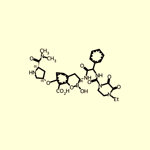 CCN1CCN(C(=O)NC(C(=O)N[C@H]2Cc3ccc(O[C@@H]4CN[C@H](C(=O)N(C)C)C4)c(C(=O)O)c3OB2O)c2ccccc2)C(=O)C1=O